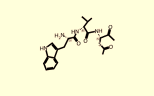 CC(=O)S[C@H](NC(=O)[C@H](NC(=O)[C@@H](N)Cc1c[nH]c2ccccc12)C(C)C)C(C)=O